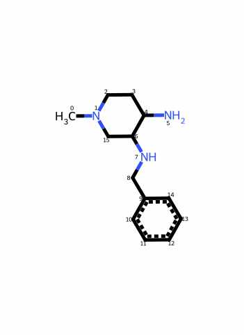 CN1CCC(N)C(NCc2ccccc2)C1